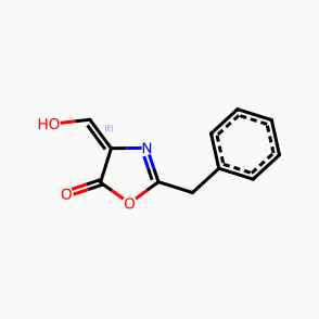 O=C1OC(Cc2ccccc2)=N/C1=C/O